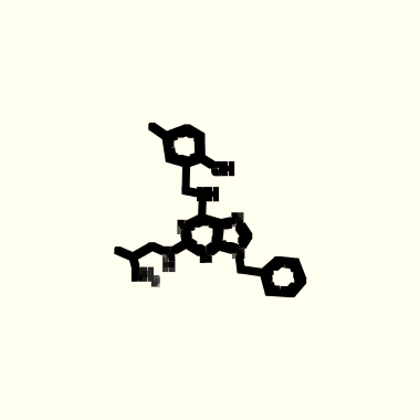 Cc1ccc(O)c(CNc2nc(NCC(C)N)nc3c2ncn3Cc2ccccc2)c1